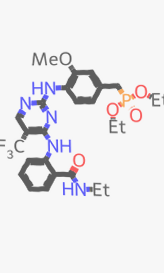 CCNC(=O)c1ccccc1Nc1nc(Nc2ccc(CP(=O)(OCC)OCC)cc2OC)ncc1C(F)(F)F